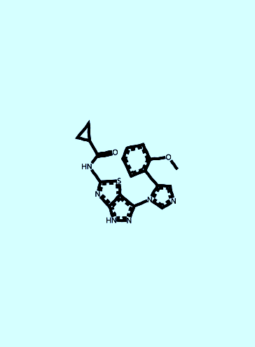 COc1ccccc1-c1cncn1-c1n[nH]c2nc(NC(=O)C3CC3)sc12